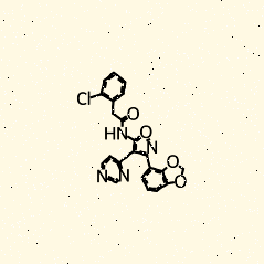 O=C(Cc1ccccc1Cl)Nc1onc(-c2cccc3c2OCO3)c1-c1ccncn1